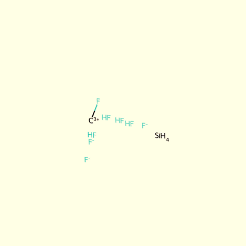 F.F.F.F.[C+3]F.[F-].[F-].[F-].[SiH4]